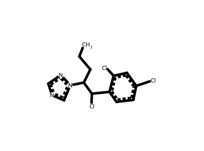 CCCC(C(Cl)c1ccc(Cl)cc1Cl)n1cncn1